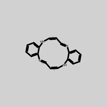 C1=C\Nc2ccccc2/N=C/C=C\Nc2ccccc2/N=C/1